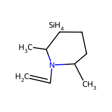 C=CN1C(C)CCCC1C.[SiH4]